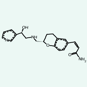 NC(=O)/C=C\c1ccc2c(c1)CC[C@@H](CNC[C@H](O)c1cccnc1)O2